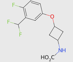 O=C(O)NC1CC(Oc2ccc(F)c(C(F)F)c2)C1